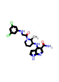 CC1C(Nc2c(C(N)=O)cnc3[nH]ccc23)CCCN1C(=O)CNc1cc(Cl)cc(Cl)c1